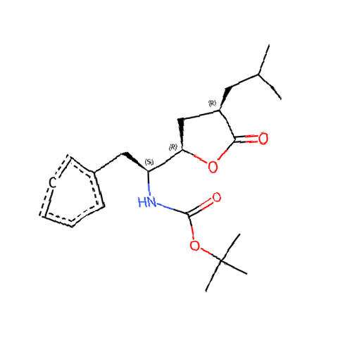 CC(C)C[C@@H]1C[C@H]([C@H](Cc2ccccc2)NC(=O)OC(C)(C)C)OC1=O